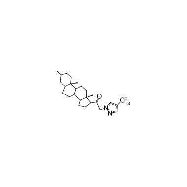 CC1CC[C@@]2(C)C(CCC3C2CC[C@]2(C)C(C(=O)Cn4cc(C(F)(F)F)cn4)CCC32)C1